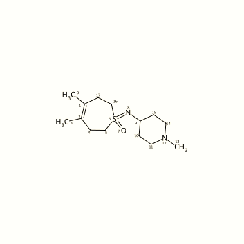 CC1=C(C)CCS(=O)(=NC2CCN(C)CC2)CC1